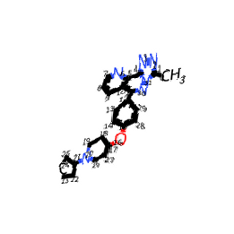 Cc1nnc2c3ncccc3c(-c3ccc(OC4CCN(C5CCCC5)CC4)cc3)nn12